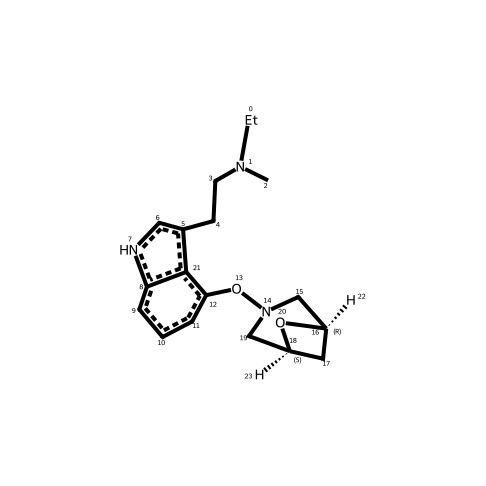 CCN(C)CCc1c[nH]c2cccc(ON3C[C@H]4C[C@@H](C3)O4)c12